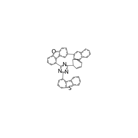 C1=CCC(c2nc(-c3cccc4oc5ccc(-c6ccc7ccccc7c6)cc5c34)nc(-c3cccc4sc5ccccc5c34)n2)C=C1